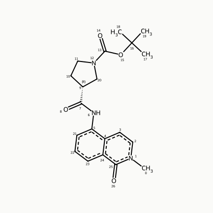 Cn1ccc2c(NC(=O)[C@@H]3CCN(C(=O)OC(C)(C)C)C3)cccc2c1=O